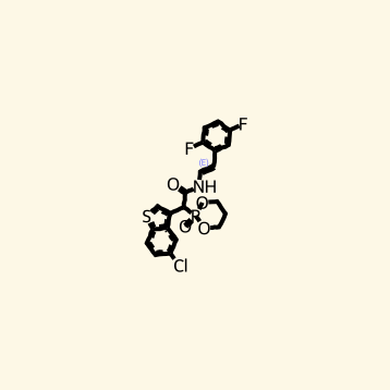 O=C(N/C=C/c1cc(F)ccc1F)C(c1csc2ccc(Cl)cc12)P1(=O)OCCCO1